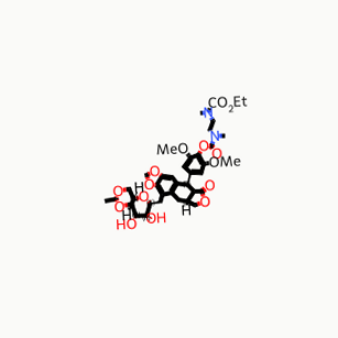 CCOC(=O)N(C)CCN(C)C(=O)Oc1c(OC)cc([C@@H]2c3cc4c(c(C[C@@H]5O[C@@H]6COC(C)O[C@H]6[C@H](O)[C@H]5O)c3C[C@H]3COC(=O)C32)OCO4)cc1OC